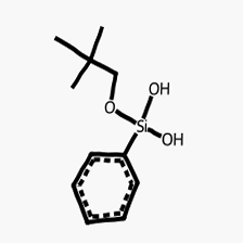 CC(C)(C)CO[Si](O)(O)c1ccccc1